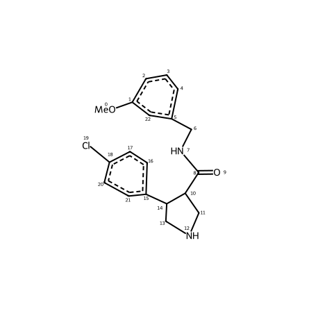 COc1cccc(CNC(=O)C2CNCC2c2ccc(Cl)cc2)c1